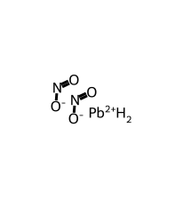 O=N[O-].O=N[O-].[PbH2+2]